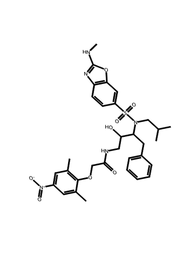 CNc1nc2ccc(S(=O)(=O)N(CC(C)C)C(Cc3ccccc3)C(O)CNC(=O)COc3c(C)cc([N+](=O)[O-])cc3C)cc2o1